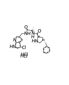 C[C@H](NC(=O)[C@H]1C[C@H](Cc2ccccc2)CN1)C(=O)NCc1cnc2[nH]cc(Cl)c2c1.Cl.Cl